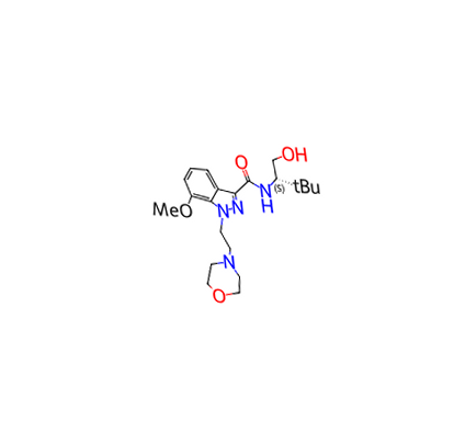 COc1cccc2c(C(=O)N[C@H](CO)C(C)(C)C)nn(CCN3CCOCC3)c12